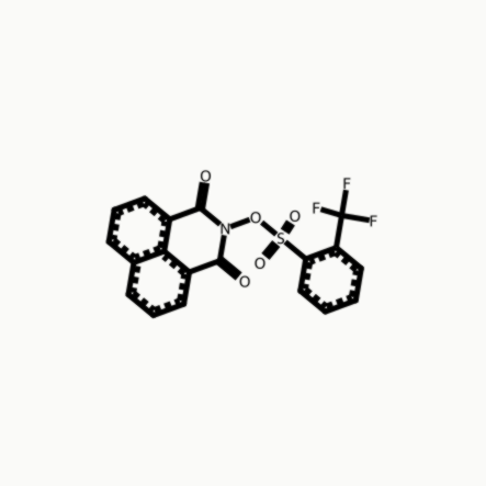 O=C1c2cccc3cccc(c23)C(=O)N1OS(=O)(=O)c1ccccc1C(F)(F)F